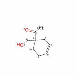 CCC(=O)C1(CO)CC=CCC1